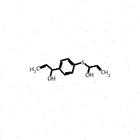 C=CC(O)Sc1ccc(C(O)C=C)cc1